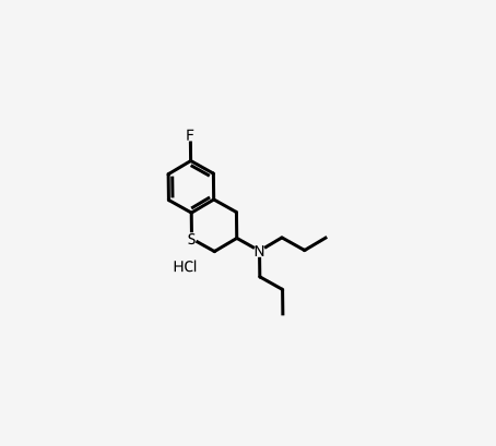 CCCN(CCC)C1CSc2ccc(F)cc2C1.Cl